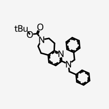 CC(C)(C)OC(=O)N1CCc2ccc(N(Cc3ccccc3)Cc3ccccc3)nc2CC1